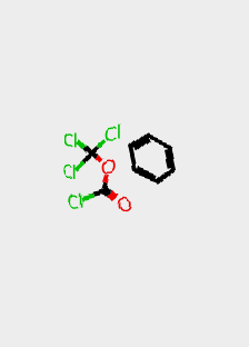 O=C(Cl)OC(Cl)(Cl)Cl.c1ccccc1